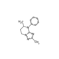 Cc1nc2n(n1)CCC(C)N2c1ccccc1